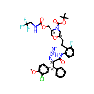 COc1ccc([C@@H](c2ccccc2)[C@H](N=[N+]=[N-])C(=O)Nc2cccc(F)c2CC[C@@H]2CN(C(=O)OC(C)(C)C)[C@H](COC(=O)NCC(F)(F)F)CO2)cc1Cl